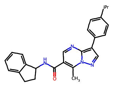 Cc1c(C(=O)NC2CCc3ccccc32)cnc2c(-c3ccc(C(C)C)cc3)cnn12